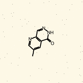 Cc1cnc2cn[nH]c(=O)c2c1